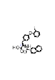 O=C(O)/C(=C/c1ccc(Oc2ccccc2I)cc1)NC(=O)c1ccc2ccccc2c1